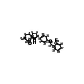 CN1CC[C@]2(CC[C@H](c3ccc(OCc4ccccc4F)cc3)N2)C2OC21